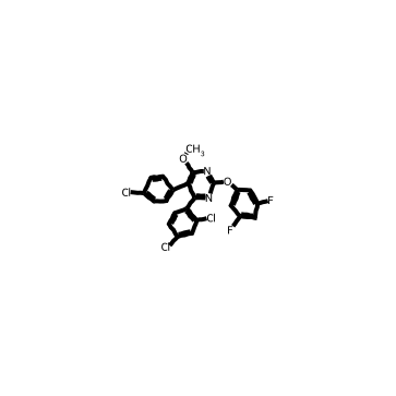 COc1nc(Oc2cc(F)cc(F)c2)nc(-c2ccc(Cl)cc2Cl)c1-c1ccc(Cl)cc1